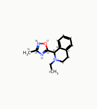 CCN1CCc2ccccc2C1c1nc(C)no1